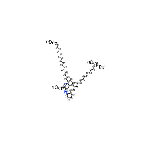 CCCCCCCCCCCCCCCCCCCCCC/C=C/CCc1ccccc1/N=C(\C=N\c1ccccc1CC/C=C/CCCCCCCCCCCCCCCCCCCCCC)CCCCCCCC.[Pd]